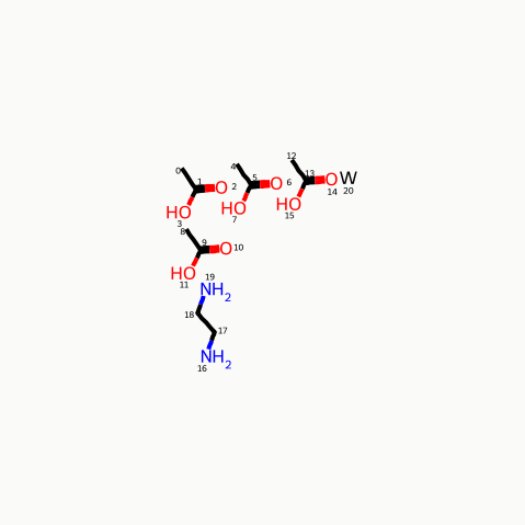 CC(=O)O.CC(=O)O.CC(=O)O.CC(=O)O.NCCN.[W]